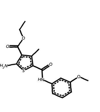 CCOC(=O)c1c(N)sc(C(=O)Nc2cccc(OC)c2)c1C